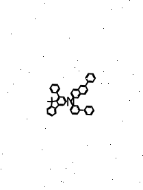 CC1(C)c2ccccc2-c2cc(N(c3cccc(-c4ccccc4)c3)c3ccc4cc(-c5ccccc5)ccc4c3)cc(-c3ccccc3)c21